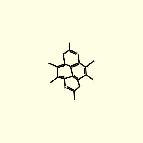 CC1=Nc2c(C)c(C)c3c4c(c(C)c(C)c(c24)C1)N=C(C)C3